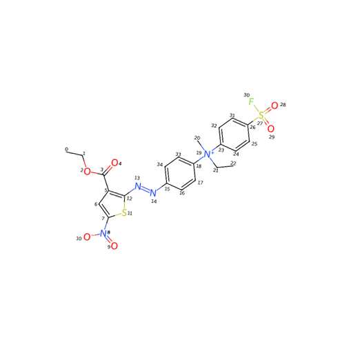 CCOC(=O)c1cc([N+](=O)[O-])sc1N=Nc1ccc([N+](C)(CC)c2ccc(S(=O)(=O)F)cc2)cc1